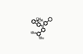 CC(C)(C)c1cc(-c2cccc(N(c3ccc(C4CCCCC4)cc3)c3ccc4c(c3)C(C)(C)c3ccccc3-4)c2)cc(C(C)(C)C)c1